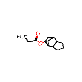 CCC(=O)OC1=C2CC(C1)C1CCCC21